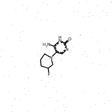 Nc1[nH]c(=O)ncc1N1CCCC(F)C1